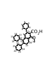 O=C(O)c1c(-c2ccccc2)cc2c(-c3ccccc3)c(-c3ccccc3)ccc2c1OI